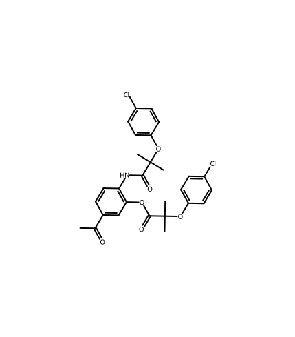 CC(=O)c1ccc(NC(=O)C(C)(C)Oc2ccc(Cl)cc2)c(OC(=O)C(C)(C)Oc2ccc(Cl)cc2)c1